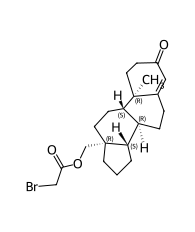 C[C@]12CCC(=O)C=C1CC[C@H]1[C@@H]3CCC[C@@]3(COC(=O)CBr)CC[C@@H]12